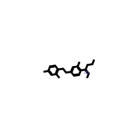 C/C=C(/CCC)c1ccc(CCc2ccc(C)cc2C)cc1C